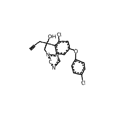 C#CCC(O)(Cn1cncn1)c1ccc(Oc2ccc(Cl)cc2)cc1Cl